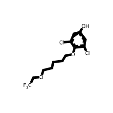 Oc1cc(Cl)c(OCCCCCOCC(F)(F)F)c(Cl)c1